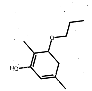 CCCOC1CC(C)=CC(O)=C1C